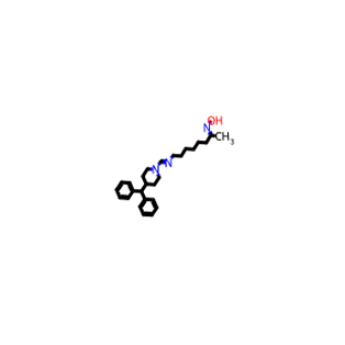 CC(CCCCCCN=CN1CCC(C(c2ccccc2)c2ccccc2)CC1)=NO